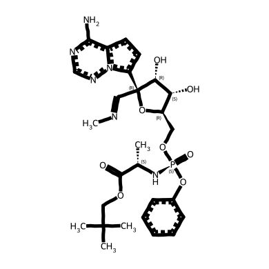 CN=C[C@@]1(c2ccc3c(N)ncnn23)O[C@H](CO[P@@](=O)(N[C@@H](C)C(=O)OCC(C)(C)C)Oc2ccccc2)[C@@H](O)[C@H]1O